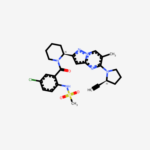 C#C[C@@H]1CCCN1c1nc2cc([C@@H]3CCCCN3C(=O)c3cc(Cl)ccc3NS(C)(=O)=O)nn2cc1C